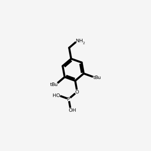 CC(C)(C)c1cc(CN)cc(C(C)(C)C)c1OP(O)O